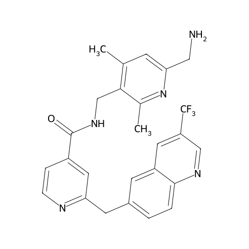 Cc1cc(CN)nc(C)c1CNC(=O)c1ccnc(Cc2ccc3ncc(C(F)(F)F)cc3c2)c1